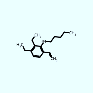 C=Cc1ccc(CC)c(CC)c1NCCCCC